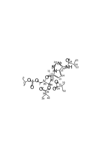 CC(C)OC(=O)OC[C@H]1O[C@@](C)(c2ccc3c(NC(=O)C(C)C)ncnn23)[C@H](OC(=O)C(C)C)[C@@H]1OC(=O)C(C)C